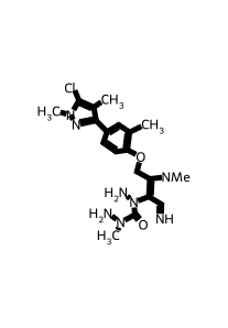 CN/C(COc1ccc(-c2nn(C)c(Cl)c2C)cc1C)=C(\C=N)N(N)C(=O)N(C)N